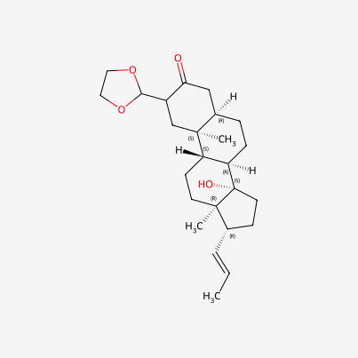 CC=C[C@H]1CC[C@]2(O)[C@@H]3CC[C@@H]4CC(=O)C(C5OCCO5)C[C@]4(C)[C@H]3CC[C@]12C